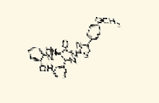 COc1ccc(-c2csc(N3N=C(c4ccccc4)/C(=N\Nc4ccccc4O)C3=O)n2)cc1